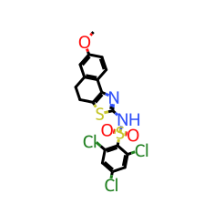 COc1ccc2c(c1)CCc1sc(NS(=O)(=O)c3c(Cl)cc(Cl)cc3Cl)nc1-2